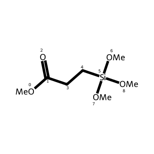 COC(=O)CC[Si](OC)(OC)OC